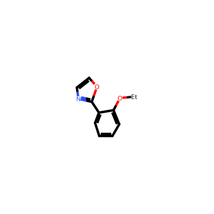 CCOc1ccccc1-c1ncco1